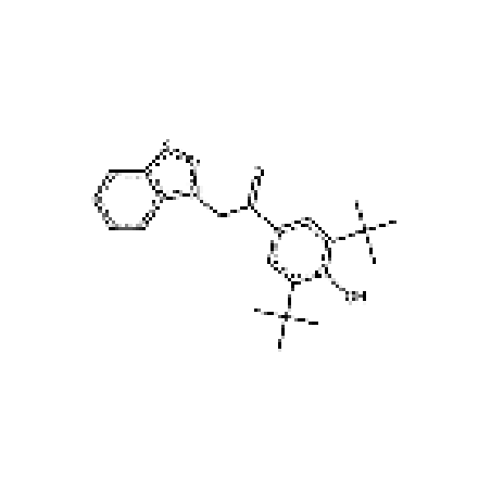 CC(C)(C)c1cc(C(=O)C[n+]2csc3ccccc32)cc(C(C)(C)C)c1O